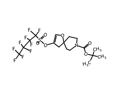 CC(C)(C)OC(=O)N1CCC2(CC1)CC(OS(=O)(=O)C(F)(F)C(F)(F)C(F)(F)C(F)(F)F)=CO2